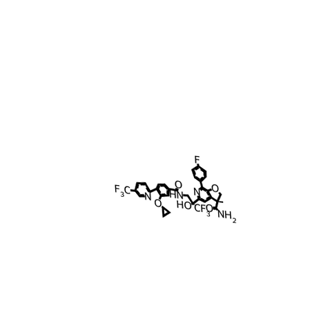 C[C@]1(C(N)=O)COc2c1cc([C@@](O)(CNC(=O)c1ccc(-c3ccc(C(F)(F)F)cn3)c(OC3CC3)c1)C(F)(F)F)nc2-c1ccc(F)cc1